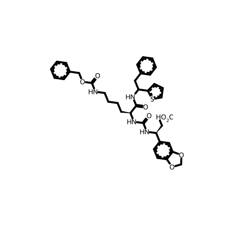 O=C(O)C[C@H](NC(=O)N[C@@H](CCCCNC(=O)OCc1ccccc1)C(=O)NC(Cc1ccccc1)c1cccs1)c1ccc2c(c1)OCO2